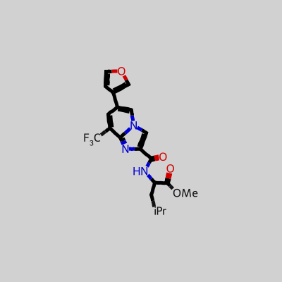 COC(=O)C(CC(C)C)NC(=O)c1cn2cc(-c3ccoc3)cc(C(F)(F)F)c2n1